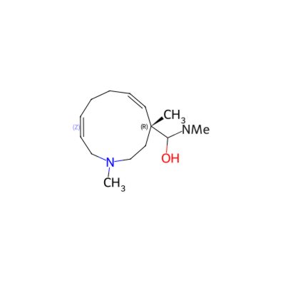 CNC(O)[C@@]1(C)C=CCC/C=C\CN(C)CC1